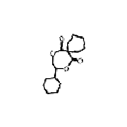 O=C1OCC(C2CCCCC2)OC(=O)C12CCCCC2